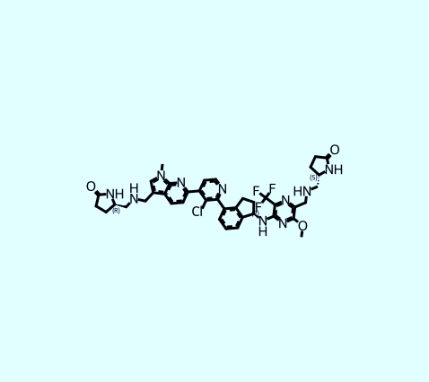 COc1nc(N[C@@H]2CCc3c(-c4nccc(-c5ccc6c(CNC[C@H]7CCC(=O)N7)cn(C)c6n5)c4Cl)cccc32)c(C(F)(F)F)nc1CNC[C@@H]1CCC(=O)N1